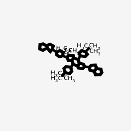 CC(C)(C)c1ccc(-c2c3ccc(-c4ccc5ccccc5c4)cc3c(-c3ccc(C(C)(C)C)cc3)c3cc4c(cc23)-c2ccc(-c3ccc5ccccc5c3)cc2[Si]4(C)C)cc1